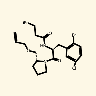 C=CCOC[C@H]1CCCN1C(=O)[C@H](Cc1cc(Cl)ccc1Br)NC(=O)CCC(C)C